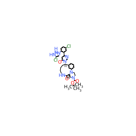 CC(C)(C)OC(=O)N1CCN2c3cccc(c3)[C@@H](n3cnc(-c4cc(Cl)ccc4N4C=C(Cl)NN4)cc3=O)CCCCNC(=O)[C@H]2C1